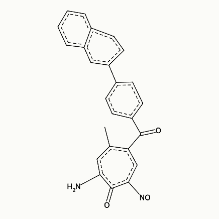 Cc1cc(N)c(=O)c(N=O)cc1C(=O)c1ccc(-c2ccc3ccccc3c2)cc1